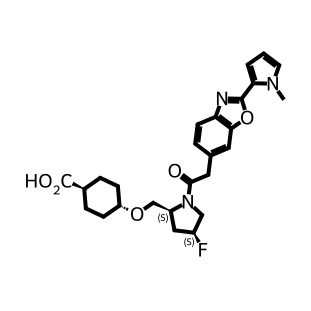 Cn1cccc1-c1nc2ccc(CC(=O)N3C[C@@H](F)C[C@H]3CO[C@H]3CC[C@H](C(=O)O)CC3)cc2o1